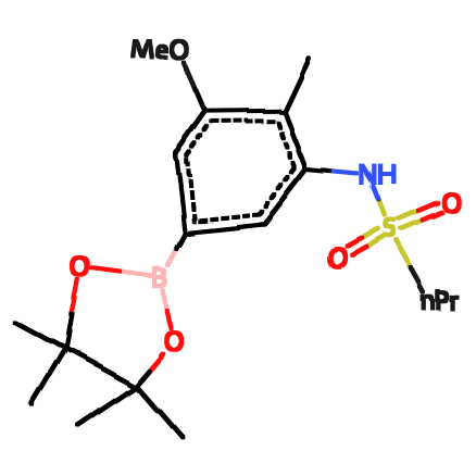 CCCS(=O)(=O)Nc1cc(B2OC(C)(C)C(C)(C)O2)cc(OC)c1C